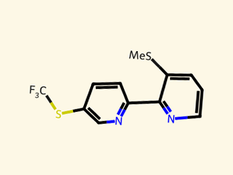 CSc1cccnc1-c1ccc(SC(F)(F)F)cn1